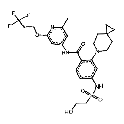 Cc1cc(NC(=O)c2ccc(NS(=O)(=O)CCO)cc2N2CCC3(CC2)CC3)cc(OCCC(F)(F)F)n1